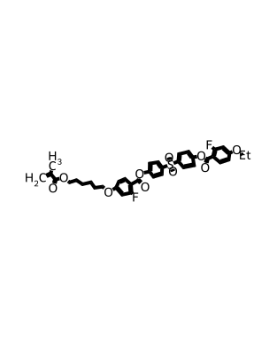 C=C(C)C(=O)OCCCCCCOc1ccc(C(=O)Oc2ccc(S(=O)(=O)c3ccc(OC(=O)c4ccc(OCC)cc4F)cc3)cc2)c(F)c1